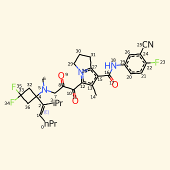 CCC/C=C(\C(C)C)C1(N(C)CC(=O)C(=O)c2c(C)c(C(=O)Nc3ccc(F)c(C#N)c3)c3n2CCC3)CC(F)(F)C1